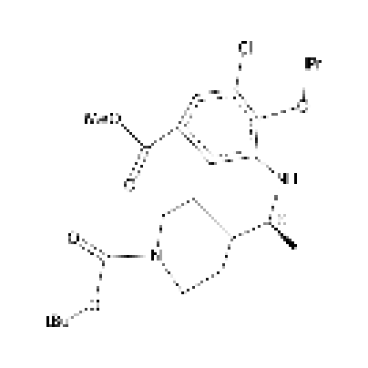 COC(=O)c1cc(Cl)c(OC(C)C)c(N[C@@H](C)C2CCN(C(=O)OC(C)(C)C)CC2)c1